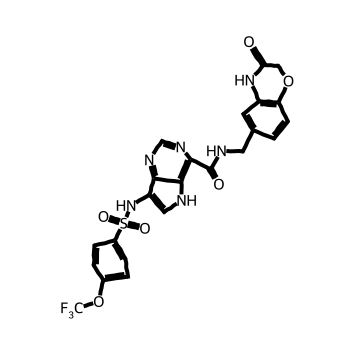 O=C1COc2ccc(CNC(=O)c3ncnc4c(NS(=O)(=O)c5ccc(OC(F)(F)F)cc5)c[nH]c34)cc2N1